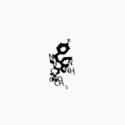 CS(=O)(=O)N1CCC(n2cnc(-c3ccc(F)cc3)c2-c2ccnc3[nH]ccc23)CC1